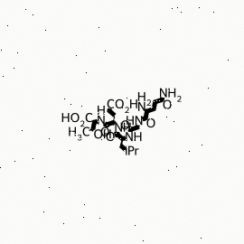 CC(C)C[C@H](NC(=O)CNC(=O)[C@@H](N)CCC(N)=O)C(=O)N[C@@H](CCC(=O)O)C(=O)N[C@H](C(=O)O)[C@@H](C)O